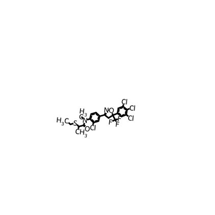 CCSC(C)C(=O)N(C)c1ccc(C2=NOC(c3cc(Cl)c(Cl)c(Cl)c3)(C(F)(F)F)C2)cc1Cl